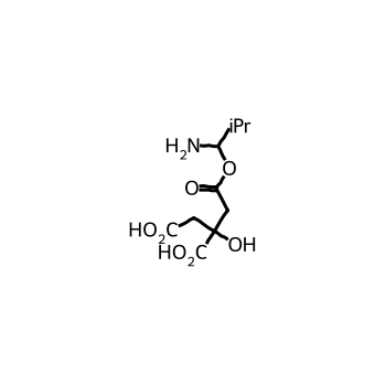 CC(C)C(N)OC(=O)CC(O)(CC(=O)O)C(=O)O